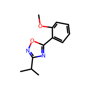 COc1ccccc1-c1nc(C(C)C)no1